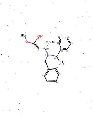 CCCC[C@@H](/C=C(\O)OC(C)(C)C)N(Cc1ccccc1)C(C)c1ccccc1